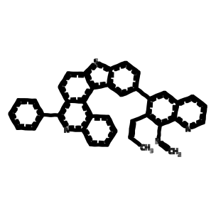 C=Nc1c(/C=C\C)c(-c2ccc3sc4ccc5c(-c6ccccc6)nc6ccccc6c5c4c3c2)cc2cccnc12